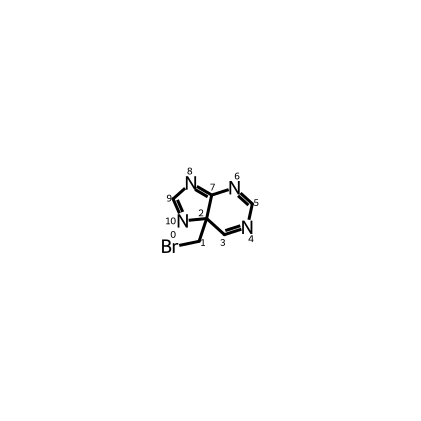 BrCC12C=NC=NC1=NC=N2